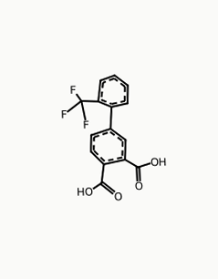 O=C(O)c1ccc(-c2ccccc2C(F)(F)F)cc1C(=O)O